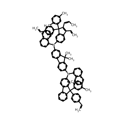 C=CC1=C(/C=C\C)C(c2ccc(C=C)cc2)(c2cc(C)ccc2C)c2cc(N(c3ccc4c(c3)C(C)(C)c3cc(N(c5ccc6c(c5)C(c5ccc(C=C)cc5)(c5cc(C)ccc5C)c5ccccc5-6)c5cccc6ccccc56)ccc3-4)c3cccc4ccccc34)ccc21